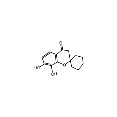 O=C1CC2(CCCCC2)Oc2c1ccc(O)c2O